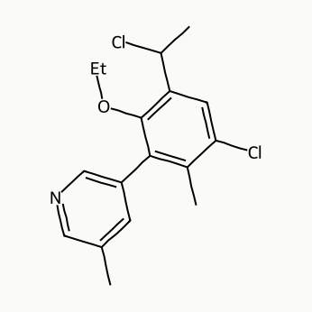 CCOc1c(C(C)Cl)cc(Cl)c(C)c1-c1cncc(C)c1